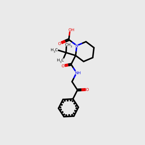 CC(C)(C)C1(C(=O)NCC(=O)c2ccccc2)CCCCN1C(=O)O